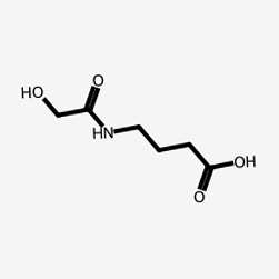 O=C(O)CCCNC(=O)CO